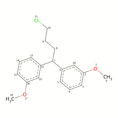 COc1cccc(C(CCCCl)c2cccc(OC)c2)c1